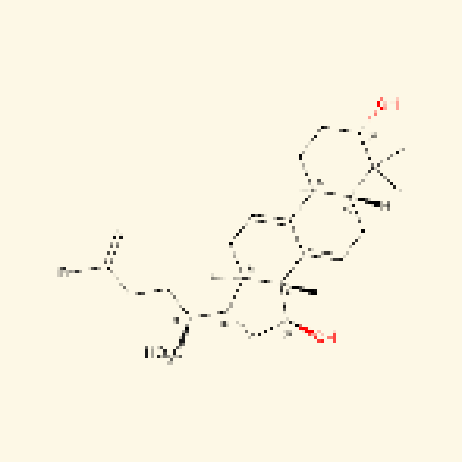 C=C(CC[C@H](C(=O)O)[C@H]1C[C@H](O)[C@@]2(C)C3=CC[C@H]4C(C)(C)[C@@H](O)CC[C@]4(C)C3=CC[C@]12C)C(C)C